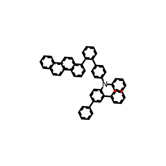 c1ccc(-c2ccc(N(c3ccccc3)c3ccc(-c4ccccc4-c4cccc5c4ccc4c6ccccc6ccc54)cc3)c(-c3ccccc3)c2)cc1